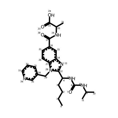 CCCCC(NC(=O)NC(C)C)c1nc2cc(C(=O)NC(C)C(=O)O)ccc2n1Cc1cccnc1